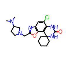 CN(C)C1CCN(Cc2nc3cc(Cl)c4c(c3o2)C2(CCCCC2)NC(=O)N4)C1